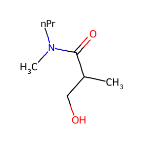 CCCN(C)C(=O)C(C)CO